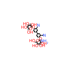 C[C@@]1(O)[C@@H](Oc2ccc(-c3ccc(O[C@H]4O[C@H](CO)[C@@H](O)[C@H](O)[C@]4(N)O)c(C#N)c3)cc2C#N)O[C@H](CO)[C@@H](O)[C@@H]1O